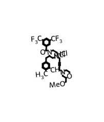 COCC1CN(CC#CCN2CCN(C(=O)c3cc(C(F)(F)F)cc(C(F)(F)F)c3)C(Cc3ccc(C)c(C)c3)C2)CCO1.Cl.Cl